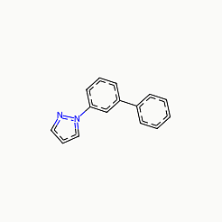 c1ccc(-c2cccc(-n3cccn3)c2)cc1